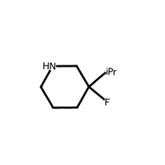 CC(C)C1(F)CCCNC1